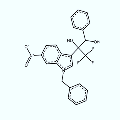 O=[N+]([O-])c1ccc2c(C(O)(C(O)c3ccccc3)C(F)(F)F)cn(Cc3ccccc3)c2c1